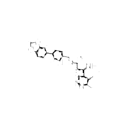 Cc1nnc2sc(C(=O)NCc3ccc(-c4ccc5c(c4)OCO5)cc3)c(N)c2c1C